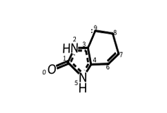 O=c1[nH]c2c([nH]1)C=CC[C]2